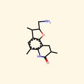 Cc1cc2c(c3c1NC(=O)C(C)C3)OC(CN)C2C